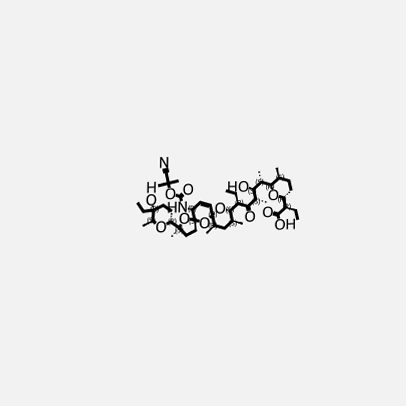 CC[C@@H](C(=O)[C@@H](C)[C@@H](O)[C@H](C)[C@@H]1O[C@@H]([C@@H](CC)C(=O)O)CC[C@@H]1C)[C@H]1O[C@]2(C=C[C@@H](NC(=O)OC(C)(C)C#N)[C@]3(CC[C@@](C)([C@H]4CC[C@](O)(CC)[C@H](C)O4)O3)O2)[C@H](C)C[C@@H]1C